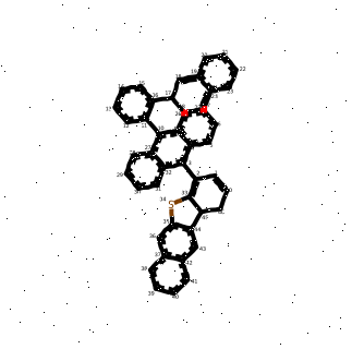 C1=CC(c2c3ccccc3c(-c3ccccc3C3C=c4ccccc4=CC3)c3ccccc23)=C2Sc3cc4ccccc4cc3C2C1